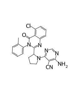 Cc1ccccc1-n1c(C2CCCN2c2ncnc(N)c2C#N)nc2cccc(Cl)c2c1=O